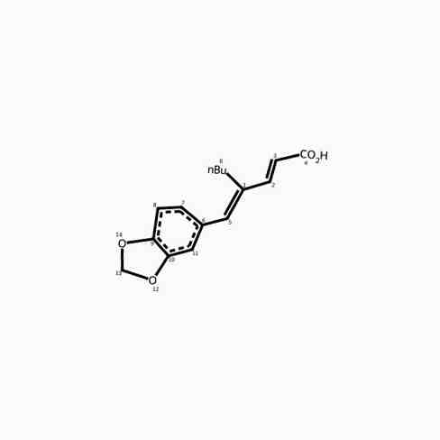 CCCCC(/C=C/C(=O)O)=C\c1ccc2c(c1)OCO2